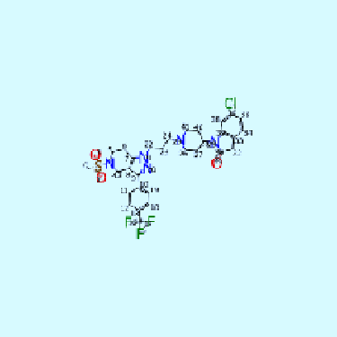 CS(=O)(=O)N1CCc2c(c(-c3ccc(C(F)(F)F)cc3)nn2CCCN2CCC(N3C(=O)Cc4ccc(Cl)cc43)CC2)C1